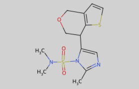 Cc1ncc(C2COCc3ccsc32)n1S(=O)(=O)N(C)C